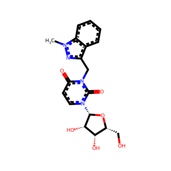 Cn1nc(Cn2c(=O)ccn([C@@H]3O[C@H](CO)[C@H](O)[C@@H]3O)c2=O)c2ccccc21